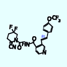 N#C[C@@H]1CCC(F)(F)CN1C(=O)CNC(=O)c1ccncc1/C=C/c1ccc(OC(F)(F)F)cc1